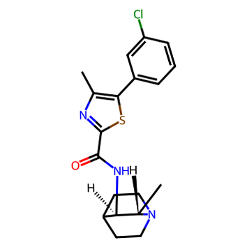 Cc1nc(C(=O)N[C@@H]2C3CCN(CC3)[C@H]2C)sc1-c1cccc(Cl)c1